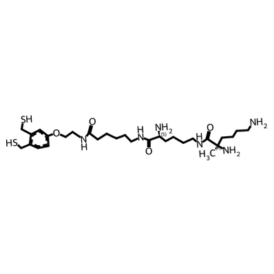 C[C@@](N)(CCCCN)C(=O)NCCCC[C@H](N)C(=O)NCCCCCC(=O)NCCOc1ccc(CS)c(CS)c1